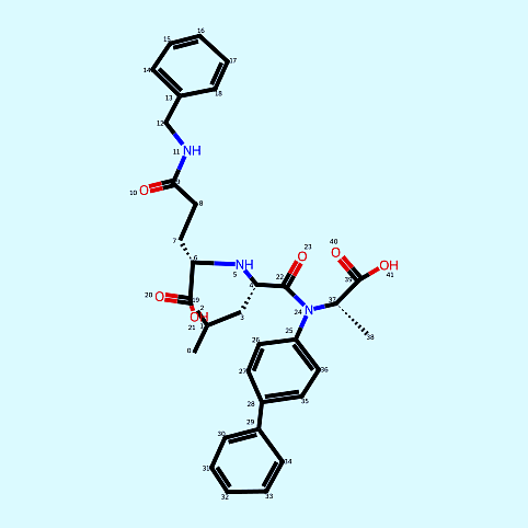 CC(C)C[C@H](N[C@@H](CCC(=O)NCc1ccccc1)C(=O)O)C(=O)N(c1ccc(-c2ccccc2)cc1)[C@@H](C)C(=O)O